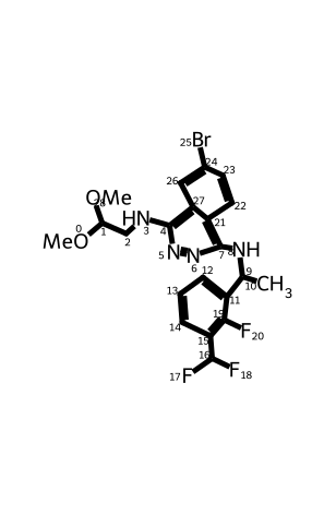 COC(CNc1nnc(NC(C)c2cccc(C(F)F)c2F)c2ccc(Br)cc12)OC